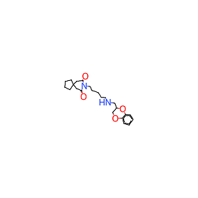 O=C1CC2(CCCC2)CC(=O)N1CCCCCNCC1COc2ccccc2O1